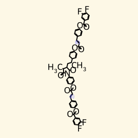 CC(CC1C(=O)N(c2ccc(OC(=O)/C=C/c3ccc(OC(=O)c4ccc(F)c(F)c4)cc3)cc2)C(=O)C1C)C1C=CC(OC(=O)/C=C/c2ccc(OC(=O)c3ccc(F)c(F)c3)cc2)=CC1